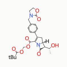 C[C@@H](O)[C@H]1C(=O)N2C(C(=O)OCOC(=O)C(C)(C)C)=C(c3ccc(CN4CCOC4=O)cc3)C[C@H]12